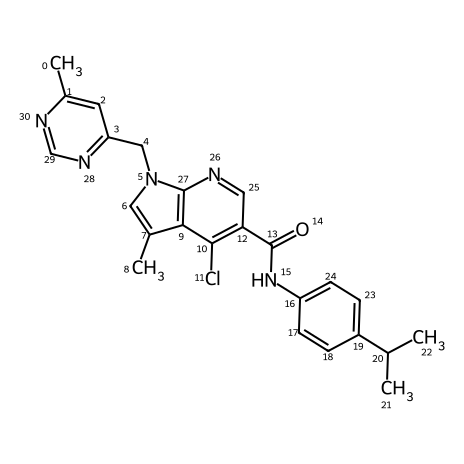 Cc1cc(Cn2cc(C)c3c(Cl)c(C(=O)Nc4ccc(C(C)C)cc4)cnc32)ncn1